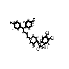 CC1CN(CCCC(c2ccc(F)cc2)c2ccc(F)cc2)CCC1n1c(=O)[nH]c2cc(Cl)c(Cl)cc21